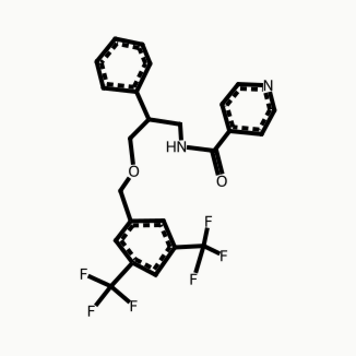 O=C(NCC(COCc1cc(C(F)(F)F)cc(C(F)(F)F)c1)c1ccccc1)c1ccncc1